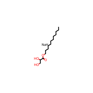 CCCCCCCCCCCCOC(=O)C(O)CO.[NaH]